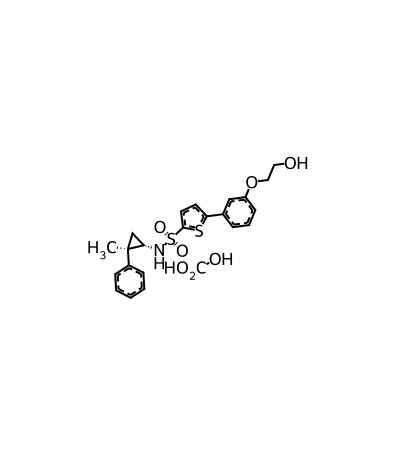 C[C@]1(c2ccccc2)C[C@@H]1NS(=O)(=O)c1ccc(-c2cccc(OCCO)c2)s1.O=C(O)O